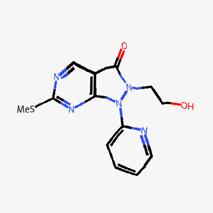 CSc1ncc2c(=O)n(CCO)n(-c3ccccn3)c2n1